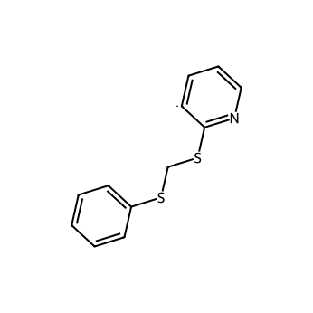 [c]1cccnc1SCSc1ccccc1